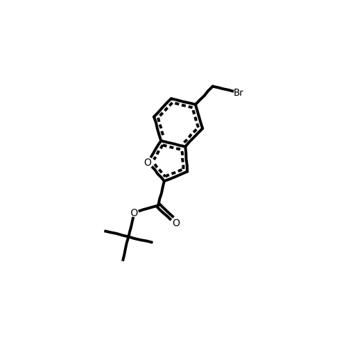 CC(C)(C)OC(=O)c1cc2cc(CBr)ccc2o1